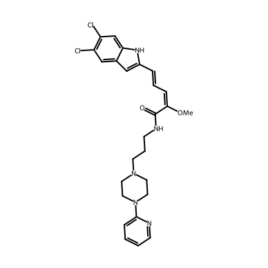 COC(=CC=Cc1cc2cc(Cl)c(Cl)cc2[nH]1)C(=O)NCCCN1CCN(c2ccccn2)CC1